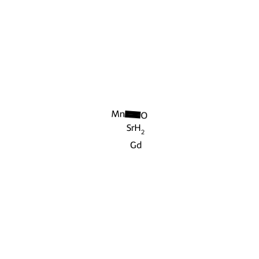 [Gd].[O]=[Mn].[SrH2]